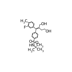 Cc1ccc(C(=C(CO)CCO)c2ccc(S(=O)(=O)NC(C)(C)C)cc2)cc1F